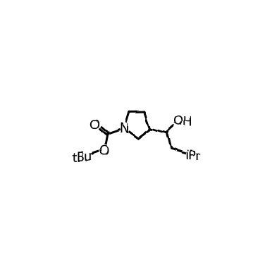 CC(C)CC(O)C1CCN(C(=O)OC(C)(C)C)C1